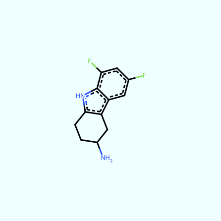 NC1CCc2[nH]c3c(F)cc(F)cc3c2C1